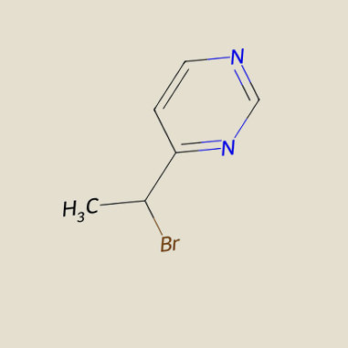 CC(Br)c1ccncn1